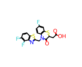 O=C(O)CC1Sc2cc(F)ccc2N(Cc2nc3c(F)c(F)ccc3s2)C1=O